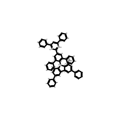 CC(C)(C)c1cc(-c2ccccc2)cc2c3cc(-c4ccccc4)ccc3n(-c3c(-c4ccccc4)cc(-c4nc(-c5ccccc5)cc(-c5ccccc5)n4)cc3-c3ccccc3)c12